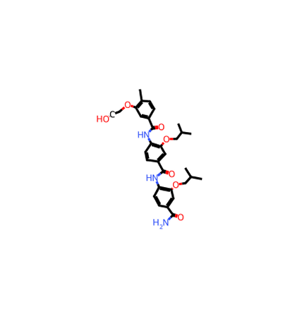 Cc1ccc(C(=O)Nc2ccc(C(=O)Nc3ccc(C(N)=O)cc3OCC(C)C)cc2OCC(C)C)cc1OCCO